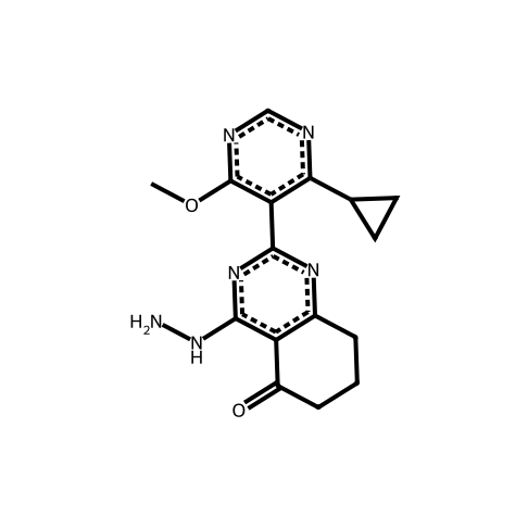 COc1ncnc(C2CC2)c1-c1nc2c(c(NN)n1)C(=O)CCC2